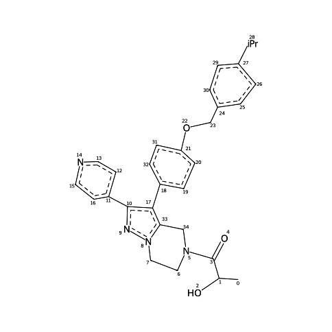 CC(O)C(=O)N1CCn2nc(-c3ccncc3)c(-c3ccc(OCc4ccc(C(C)C)cc4)cc3)c2C1